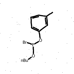 CCCCOP(Br)Oc1cccc(C)c1